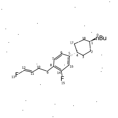 CCCC[C@H]1CC[C@H](c2ccc(CC/C=C/F)c(F)c2)CC1